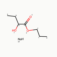 CCCOC(=O)C(O)CC.[NaH]